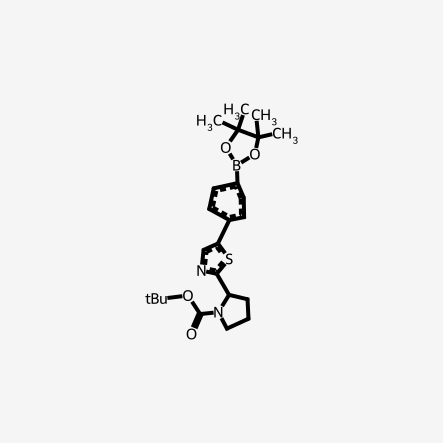 CC(C)(C)OC(=O)N1CCCC1c1ncc(-c2ccc(B3OC(C)(C)C(C)(C)O3)cc2)s1